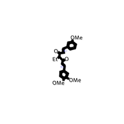 CCC(C(=O)/C=C/c1cccc(OC)c1)C(=O)/C=C/c1ccc(OC)c(OC)c1